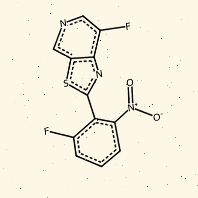 O=[N+]([O-])c1cccc(F)c1-c1nc2c(F)cncc2s1